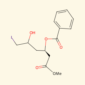 COC(=O)C[C@@H](CC(O)CI)OC(=O)c1ccccc1